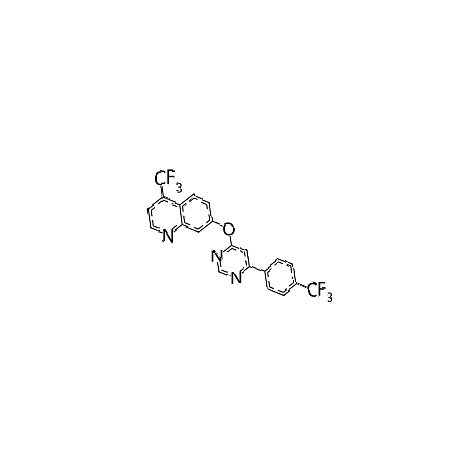 FC(F)(F)c1ccc(-c2cc(Oc3ccc4c(C(F)(F)F)ccnc4c3)ncn2)cc1